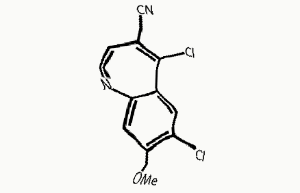 COc1cc2ncc(C#N)c(Cl)c2cc1Cl